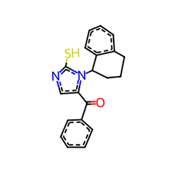 O=C(c1ccccc1)c1cnc(S)n1C1CCCc2ccccc21